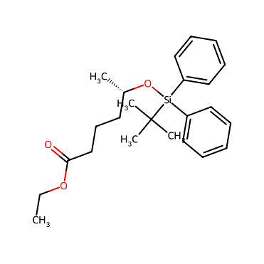 CCOC(=O)CCC[C@H](C)O[Si](c1ccccc1)(c1ccccc1)C(C)(C)C